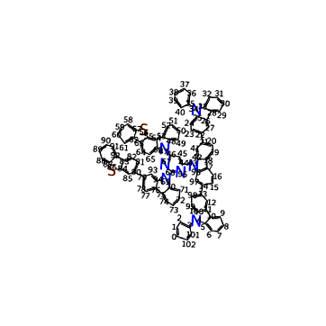 c1ccc(-n2c3ccccc3c3cc(-c4ccc5c6ccc(-c7ccc8c(c7)c7ccccc7n8-c7ccccc7)cc6n(-c6cc(-n7c8ccccc8c8c9sc%10ccccc%10c9ccc87)nc(-n7c8ccccc8c8ccc(-c9ccc%10c(c9)sc9ccccc9%10)cc87)n6)c5c4)ccc32)cc1